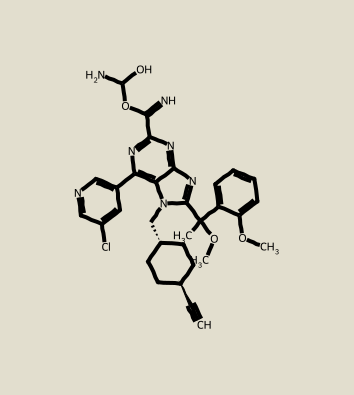 C#C[C@H]1CC[C@H](Cn2c(C(C)(OC)c3ccccc3OC)nc3nc(C(=N)OC(N)O)nc(-c4cncc(Cl)c4)c32)CC1